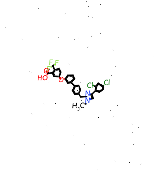 CCn1cc(-c2ccc(Cl)cc2Cl)nc1Cc1ccc(-c2cccc(Oc3ccc(C(F)(F)F)c(C(=O)O)c3)c2)cc1